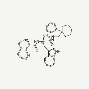 C[C@@](Cc1c[nH]c2ccccc12)(NC(=O)c1cccc2cccnc12)C(=O)NCC1(c2ccccn2)CCCCC1